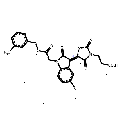 O=C(O)CCN1C(=O)/C(=C2/C(=O)N(CC(=O)OCc3cccc(C(F)(F)F)c3)c3ccc(Cl)cc32)SC1=S